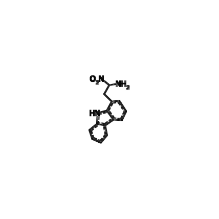 NC(Cc1cccc2c1[nH]c1ccccc12)[N+](=O)[O-]